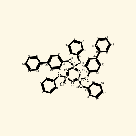 ClP1(Oc2ccccc2)=NP(Oc2ccccc2)(Oc2ccc(-c3ccccc3)cc2)=NP(Oc2ccccc2)(Oc2ccc(-c3ccccc3)cc2)=N1